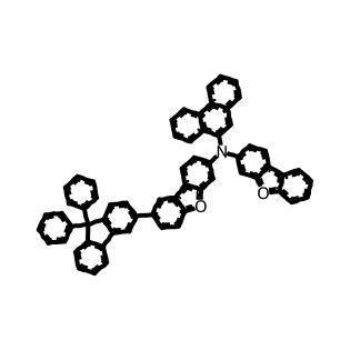 c1ccc(C2(c3ccccc3)c3ccccc3-c3cc(-c4ccc5oc6cc(N(c7ccc8c(c7)oc7ccccc78)c7cc8ccccc8c8ccccc78)ccc6c5c4)ccc32)cc1